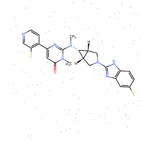 CN(c1nc(-c2ccncc2F)cc(=O)n1C)[C@@H]1[C@@H]2CN(c3nc4cc(F)ccc4[nH]3)C[C@@H]21